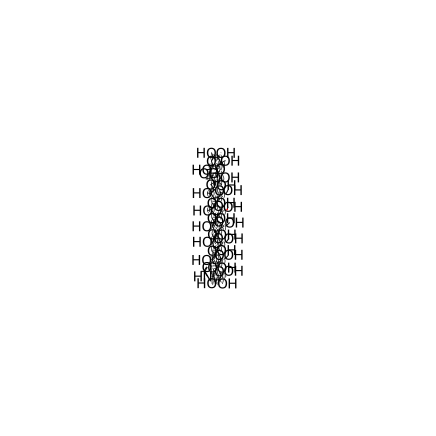 CC(=O)N[C@H]1[C@H](O[C@H]2[C@@H](O)[C@@H](CO)O[C@H](O[C@H]3[C@@H](O)[C@@H](CO)O[C@H](O[C@H]4[C@@H](O)[C@@H](CO)O[C@H](O[C@H]5[C@@H](O)[C@@H](CO)O[C@H](O[C@H]6[C@@H](O)[C@@H](CO)O[C@H](O[C@@H]7[C@H](O)[C@@H](O)[C@H](O[C@H]8[C@H](O)[C@@H](O)[C@H](O)O[C@@H]8CO)O[C@@H]7CO)[C@@H]6O)[C@@H]5O)[C@@H]4O)[C@@H]3O)[C@@H]2O)O[C@H](CO)[C@H](O)[C@@H]1O